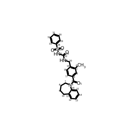 Cc1cc(C(=O)N2CCCCc3ccccc32)ccc1CNC(=O)NS(=O)(=O)c1ccccc1